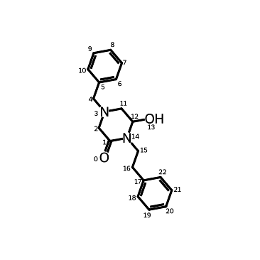 O=C1CN(Cc2ccccc2)CC(O)N1CCc1ccccc1